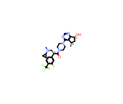 C[C@@H]1C[C@H](O)c2ncnc(N3CCN(C(=O)[C@H](CN(C)C4CC4)c4ccc(C(F)(F)F)c(F)c4)CC3)c21